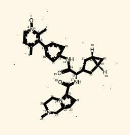 Cc1cc[n+]([O-])c(C)c1-c1ccc(NC(=O)[C@@H](NC(=O)c2ccc3n2CCN(C)C3)C2C[C@@H]3C[C@@H]3C2)cc1